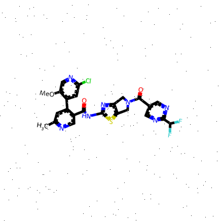 COc1cnc(Cl)cc1-c1cc(C)ncc1C(=O)Nc1nc2c(s1)CN(C(=O)c1cnc(C(F)F)nc1)C2